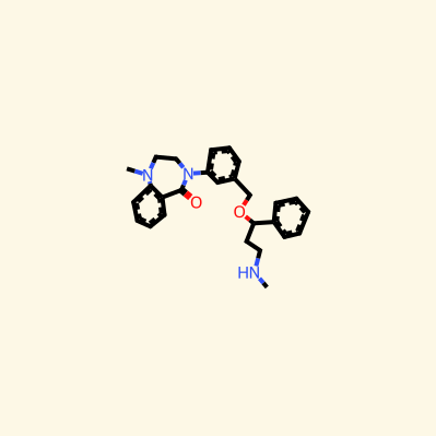 CNCCC(OCc1cccc(N2CCN(C)c3ccccc3C2=O)c1)c1ccccc1